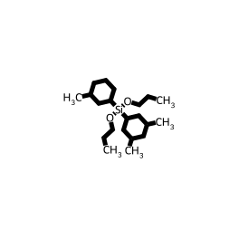 CCCO[Si](OCCC)(C1CCCC(C)C1)C1CC(C)CC(C)C1